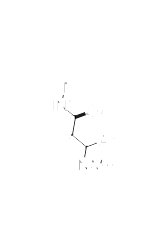 CNC(CC(=O)NI)C(C)=O